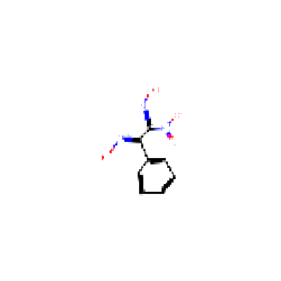 O=[N+]([O-])C(=N\O)/C(=N/O)c1ccccc1